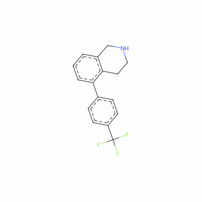 FC(F)(F)c1ccc(-c2cccc3c2CCNC3)cc1